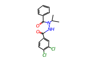 CC(C)N(NC(=O)c1ccc(Cl)c(Cl)c1)C(=O)c1ccccc1